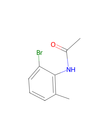 CC(=O)Nc1c(C)cccc1Br